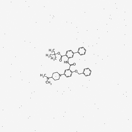 CN(C)C1CCN(c2ccc(OCc3ccccc3)c(C(=O)Nc3cc(-c4ccccc4)ccc3C(=O)OC(C)(C)C)c2)CC1